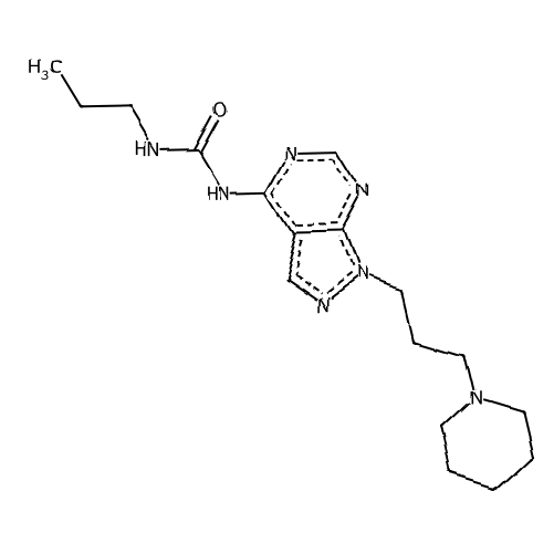 CCCNC(=O)Nc1ncnc2c1cnn2CCCN1CCCCC1